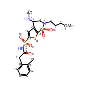 CCN[C@H]1CN(CCCOC)S(=O)(=O)c2sc(S(=O)(=O)NC(=O)Cc3ccccc3C)cc21